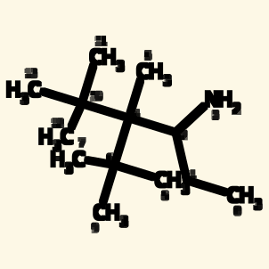 CCC(N)C(C)(C(C)(C)C)C(C)(C)C